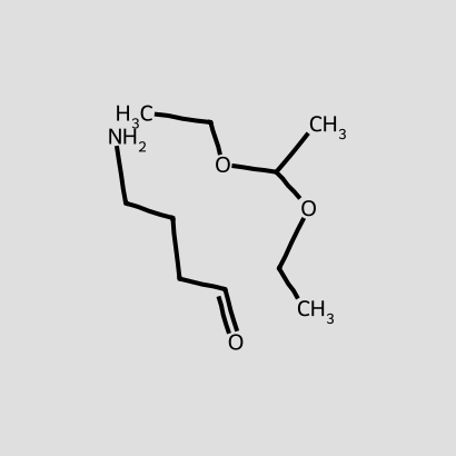 CCOC(C)OCC.NCCCC=O